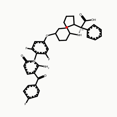 Nc1c(C(=O)c2ccc(F)cc2)ccc(=O)n1-c1c(F)cc(OC2CCC(N[C@](C(=O)O)(c3ccccc3)C3CCCC3)CC2)cc1F